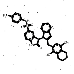 O=C1Nc2ccc(S(=O)(=O)Nc3ccc(C(F)(F)F)cc3)cc2C1C1C(Cc2cc(O)c3c(c2O)CCCC3)=Cc2ccccc21